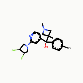 CC(C)c1ccc([C@](O)(c2ccnc(N3C[C@@H](F)[C@@H](F)C3)c2)C2(C)CN(C)C2)cc1